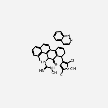 Cc1cccc2ccc3c(c12)C(NC(=N)NO)C(=N)C1=C3C=CCC1c1cc(Cl)sc1Cl.Cl.c1ccc2nnccc2c1